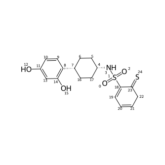 O=S(=O)(N[C@H]1CC[C@@H](c2ccc(O)cc2O)CC1)C1=CC=CCC1=S